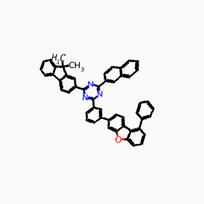 CC1(C)c2ccccc2-c2ccc(-c3nc(-c4cccc(-c5ccc6c(c5)oc5cccc(-c7ccccc7)c56)c4)nc(-c4ccc5ccccc5c4)n3)cc21